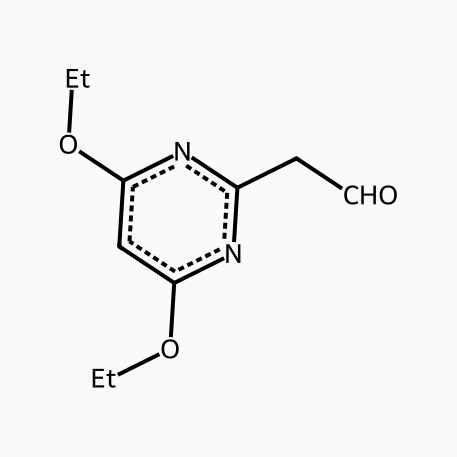 CCOc1cc(OCC)nc(CC=O)n1